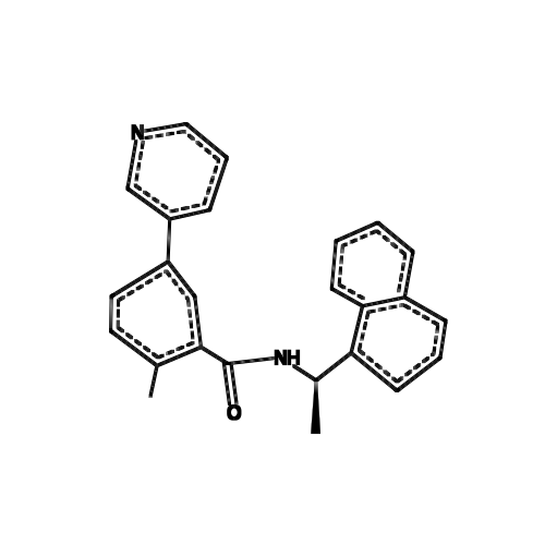 Cc1ccc(-c2cccnc2)cc1C(=O)N[C@H](C)c1cccc2ccccc12